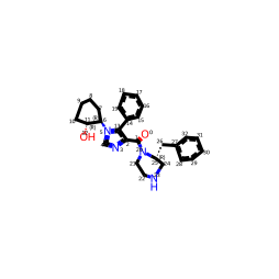 O=C(c1ncn([C@@H]2CCCC[C@H]2O)c1-c1ccccc1)N1CCNC[C@H]1Cc1ccccc1